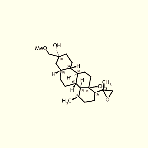 COC[C@@]1(O)CC[C@H]2[C@H](CC[C@@H]3[C@@H]2CC[C@@]2(C)[C@H]3[C@H](C)CC[C@@H]2C2(C)CO2)C1